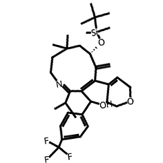 C=C1/C(C2=CCOCC2)=C(C(O)c2ccc(C(F)(F)F)cc2)\C(C(C)C)=N/CCC(C)(C)C[C@@H]1O[Si](C)(C)C(C)(C)C